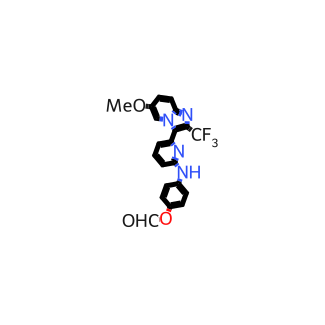 COc1ccc2nc(C(F)(F)F)c(-c3cccc(Nc4ccc(OC=O)cc4)n3)n2c1